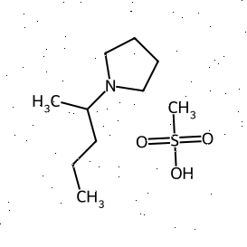 CCCC(C)N1CCCC1.CS(=O)(=O)O